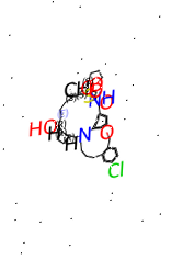 C[C@H]1C/C=C/[C@H](O)[C@@H]2CC[C@H]2CN2CCCCc3cc(Cl)ccc3COc3ccc(cc32)C(=O)NS(=O)(=O)[C@H]1C[C@@H]1CCCO1